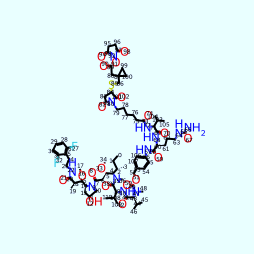 CC[C@H](C)[C@@H]([C@@H](CC(=O)N1C[C@@H](O)C[C@H]1[C@H](OC)[C@@H](C)C(=O)NCCc1c(F)cccc1F)OC)N(C)C(=O)[C@@H](NC(=O)[C@H](C(C)C)N(C)C(=O)OCc1ccc(NC(=O)[C@H](CCCNC(N)=O)NC(=O)[C@@H](NC(=O)CCCCCN2C(=O)CC(SCC3(CC(=O)ON4C(=O)CCC4=O)CC3)C2=O)C(C)C)cc1)C(C)C